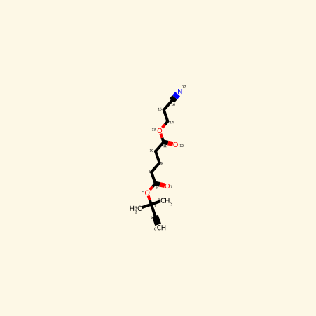 C#CC(C)(C)OC(=O)CCCC(=O)OCCC#N